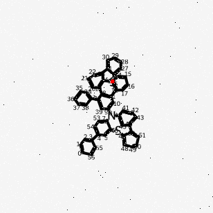 c1ccc(-c2ccc(N(c3cc(-c4ccccc4)c(-c4cccc5c4sc4ccccc45)c(-c4ccccc4)c3)c3cccc4c3sc3ccccc34)cc2)cc1